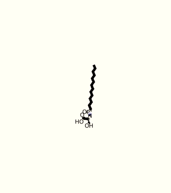 CCCCCCCCCCCCCC/[P+]([O-])=N/[C@@H](CO)C(=O)O